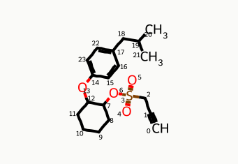 C#CCS(=O)(=O)OC1CCCCC1Oc1ccc(CC(C)C)cc1